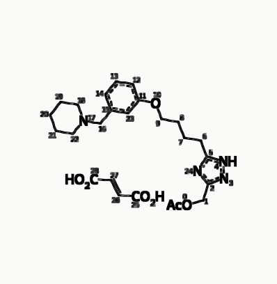 CC(=O)OCc1n[nH]c(CCCCOc2cccc(CN3CCCCC3)c2)n1.O=C(O)/C=C/C(=O)O